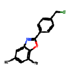 CC(C)c1cc(C#N)cc2nc(-c3ccc(CCl)cc3)oc12